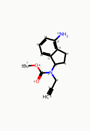 C#CCN(C(=O)OC(C)(C)C)C1CCc2c(N)cccc21